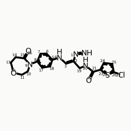 N=N/C(=C\Nc1ccc(N2CCOCCC2=O)cc1)CNC(=O)c1ccc(Cl)s1